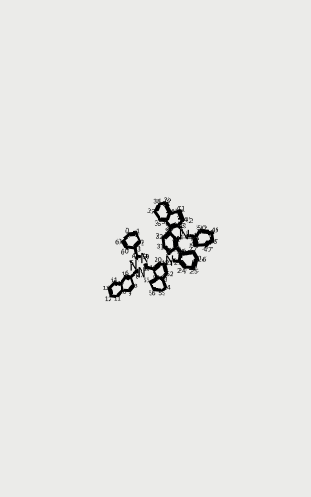 c1ccc(-c2nc(-c3ccc4ccccc4c3)nc(-c3cc(-n4c5ccccc5c5c4ccc4c6c7ccccc7ccc6n(-c6ccccc6)c45)cc4ccccc34)n2)cc1